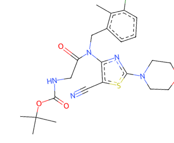 Cc1c(Cl)cccc1CN(C(=O)CNC(=O)OC(C)(C)C)c1nc(N2CCOCC2)sc1C#N